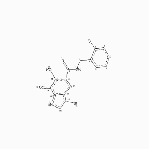 O=C(NCc1ccccc1F)c1nc2c(Br)c[nH]n2c(=O)c1O